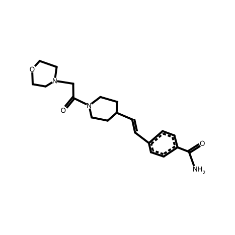 NC(=O)c1ccc(/C=C/C2CCN(C(=O)CN3CCOCC3)CC2)cc1